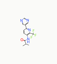 CC(C)C(=O)Nc1ccc(-c2cncnc2)nc1C(F)(F)F